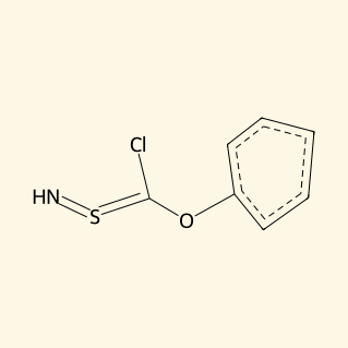 N=S=C(Cl)Oc1ccccc1